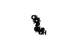 O=C(O)c1cc(COc2ccc(Cl)cc2)on1